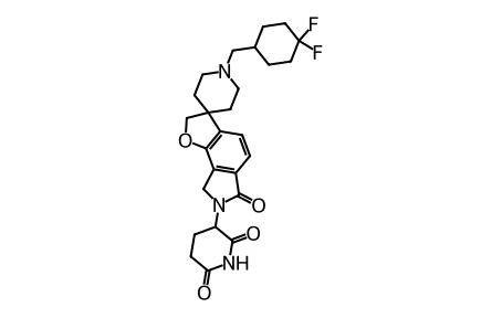 O=C1CCC(N2Cc3c(ccc4c3OCC43CCN(CC4CCC(F)(F)CC4)CC3)C2=O)C(=O)N1